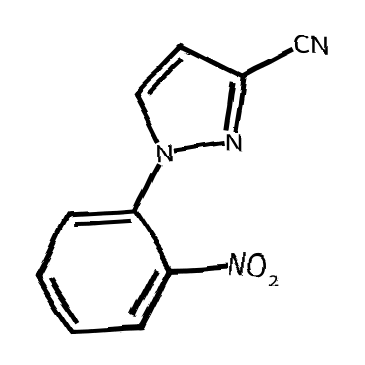 N#Cc1ccn(-c2ccccc2[N+](=O)[O-])n1